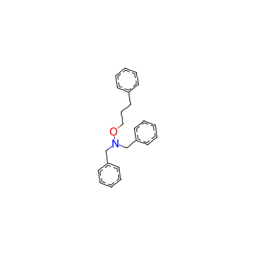 c1ccc(CCCON(Cc2ccccc2)Cc2ccccc2)cc1